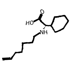 C=CCCCCCN[C@H](C(=O)O)C1CCCCC1